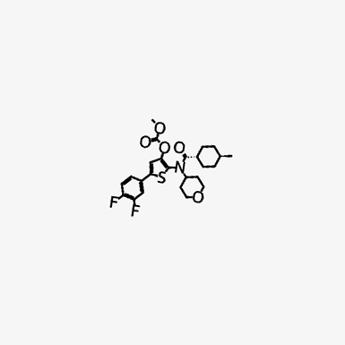 COC(=O)Oc1cc(-c2ccc(F)c(F)c2)sc1N(C(=O)[C@H]1CC[C@H](C)CC1)C1CCOCC1